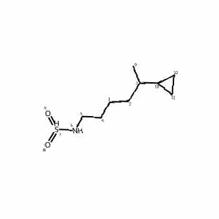 CC(CCCCN[SH](=O)=O)C1CC1